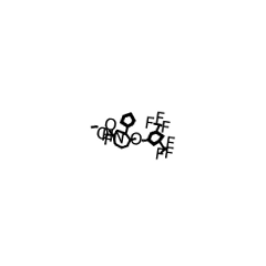 CCOC(=O)C1(F)CC2(c3ccccc3)NC1CCC2OCc1cc(C(F)(F)F)cc(C(F)(F)F)c1